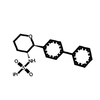 CC(C)S(=O)(=O)N[C@@H]1CCCO[C@H]1c1ccc(-c2ccccc2)cc1